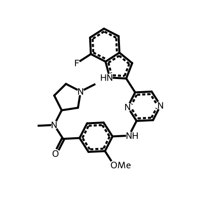 COc1cc(C(=O)N(C)C2CCN(C)C2)ccc1Nc1cncc(-c2cc3cccc(F)c3[nH]2)n1